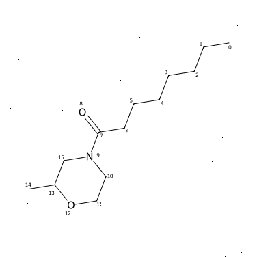 CCCCCCCC(=O)N1CCOC(C)C1